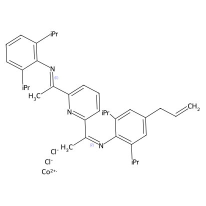 C=CCc1cc(C(C)C)c(/N=C(/C)c2cccc(/C(C)=N/c3c(C(C)C)cccc3C(C)C)n2)c(C(C)C)c1.[Cl-].[Cl-].[Co+2]